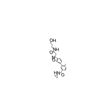 Cc1ccc(C(=O)NC2CC2)cc1-c1ccc2c(CC(=O)NCCCO)noc2c1